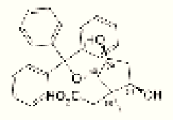 C[C@@]1(CC(=O)O)[C@H](O)C[C@H](O)[C@H]1OC(c1ccccc1)(c1ccccc1)c1ccccc1